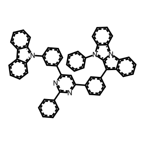 c1ccc(-c2nc(-c3cccc(-c4c5ccccc5n5c6ccccc6n(-c6ccccc6)c45)c3)cc(-c3cccc(-n4c5ccccc5c5ccccc54)c3)n2)cc1